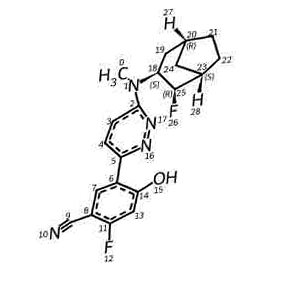 CN(c1ccc(-c2cc(C#N)c(F)cc2O)nn1)[C@H]1C[C@@H]2CC[C@@H](C2)[C@H]1F